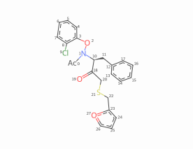 CC(=O)N(Oc1ccccc1Cl)[C@@H](Cc1ccccc1)C(=O)CSCc1ccco1